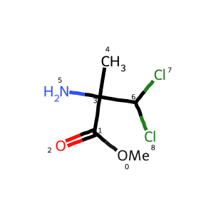 COC(=O)C(C)(N)C(Cl)Cl